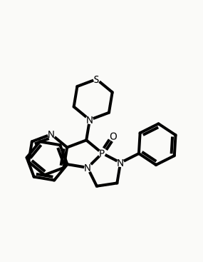 O=P1(C(c2ccccn2)N2CCSCC2)N(c2ccccc2)CCN1c1ccccc1